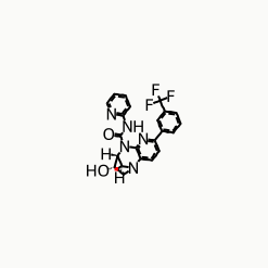 C[C@H]1[C@@H]2[C@@H](O)CN1c1ccc(-c3cccc(C(F)(F)F)c3)nc1N2C(=O)Nc1ccccn1